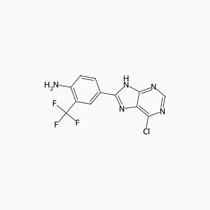 Nc1ccc(-c2nc3c(Cl)ncnc3[nH]2)cc1C(F)(F)F